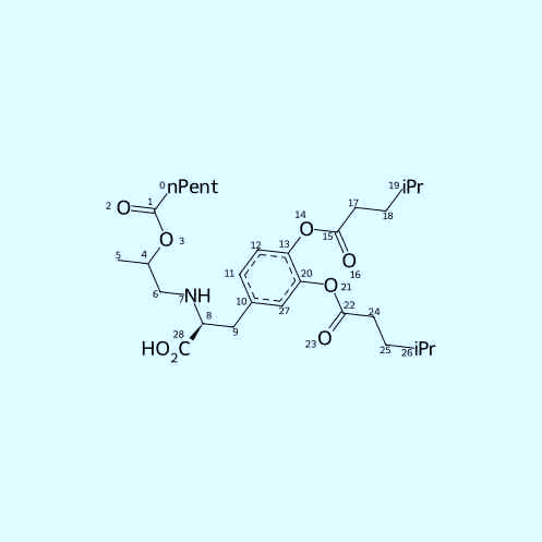 CCCCCC(=O)OC(C)CN[C@@H](Cc1ccc(OC(=O)CCC(C)C)c(OC(=O)CCC(C)C)c1)C(=O)O